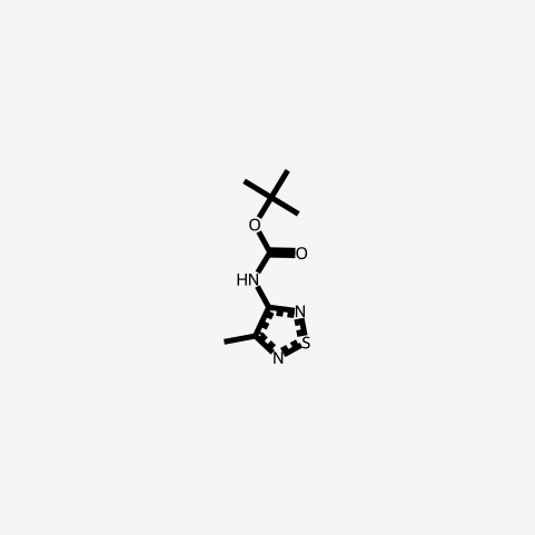 Cc1nsnc1NC(=O)OC(C)(C)C